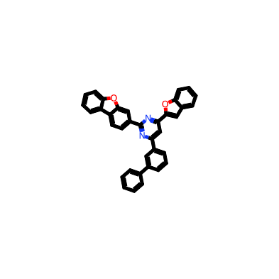 c1ccc(-c2cccc(-c3cc(-c4cc5ccccc5o4)nc(-c4ccc5c(c4)oc4ccccc45)n3)c2)cc1